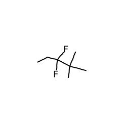 CCC(F)(F)C(C)(C)C